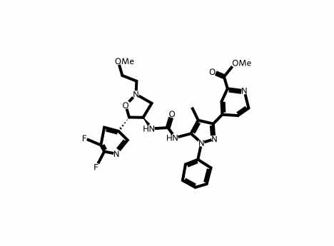 COCCN1C[C@@H](NC(=O)Nc2c(C)c(-c3ccnc(C(=O)OC)c3)nn2-c2ccccc2)[C@H](c2cnc(F)c(F)c2)O1